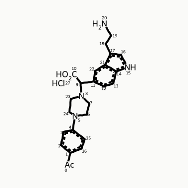 CC(=O)c1ccc(N2CCN(C(C(=O)O)c3ccc4[nH]cc(CCN)c4c3)CC2)cc1.Cl